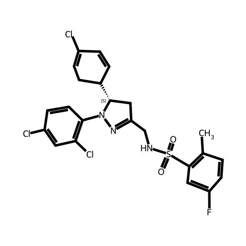 Cc1ccc(F)cc1S(=O)(=O)NCC1=NN(c2ccc(Cl)cc2Cl)[C@H](C2C=CC(Cl)=CC2)C1